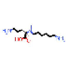 NCCCCCCN[C@@H](CCCN)C(=O)O